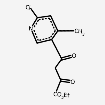 CCOC(=O)C(=O)CC(=O)c1cnc(Cl)cc1C